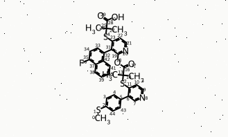 CSc1ccc(-c2cnccc2SC(C)(C)C(=O)Oc2nccc(SC(C)(C)C(=O)O)c2-c2ccc(F)c3ccccc23)cc1